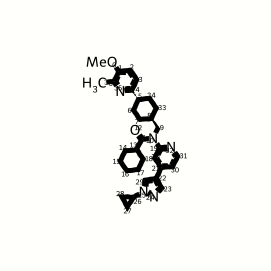 COc1ccc([C@H]2CC[C@H](CN(C(=O)C3CCCCC3)c3cc(-c4cnn(C5CC5)c4)ccn3)CC2)nc1C